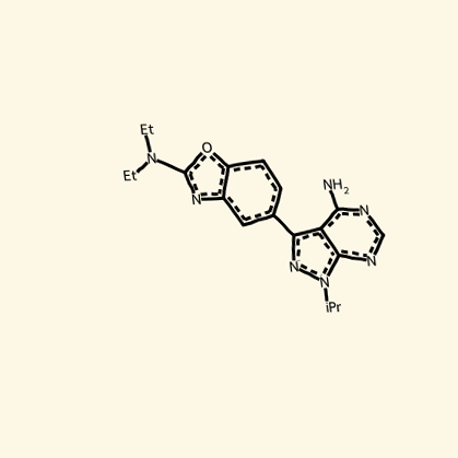 CCN(CC)c1nc2cc(-c3nn(C(C)C)c4ncnc(N)c34)ccc2o1